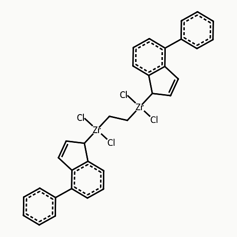 [Cl][Zr]([Cl])([CH2][CH2][Zr]([Cl])([Cl])[CH]1C=Cc2c(-c3ccccc3)cccc21)[CH]1C=Cc2c(-c3ccccc3)cccc21